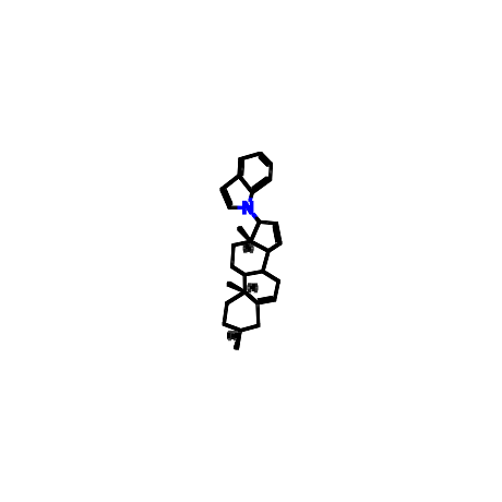 C[C@H]1CC[C@@]2(C)C(=CCC3C4C=CC(n5ccc6ccccc65)[C@@]4(C)CCC32)C1